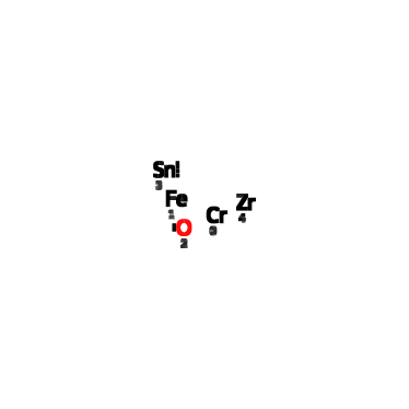 [Cr].[Fe].[O].[Sn].[Zr]